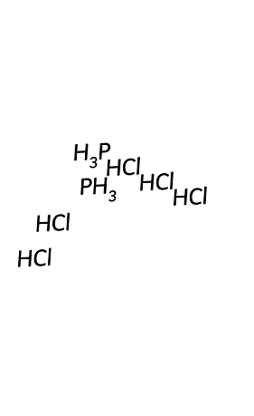 Cl.Cl.Cl.Cl.Cl.P.P